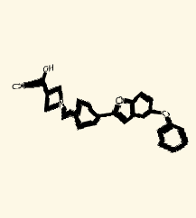 O=C(O)C1CN(Cc2ccc(-c3cc4cc(OC5=CCCC=C5)ccc4o3)cc2)C1